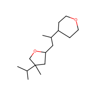 CC(CC1CC(C)(C(C)C)CO1)C1CCOCC1